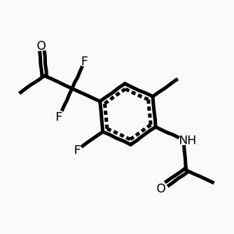 CC(=O)Nc1cc(F)c(C(F)(F)C(C)=O)cc1C